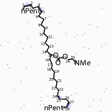 CCCCC/C=C\C/C=C\CCCCCCCCCC(CCCCCCCC/C=C\C/C=C\CCCCC)OC(=O)OCCNC